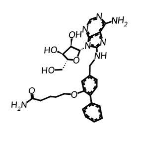 NC(=O)CCCCOc1cc(CNc2nc3c(N)ncnc3n2[C@@H]2O[C@H](CO)[C@@H](O)[C@H]2O)ccc1-c1ccccc1